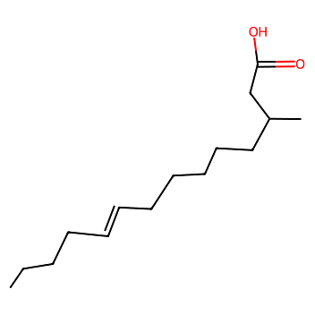 CCCCC=CCCCCCC(C)CC(=O)O